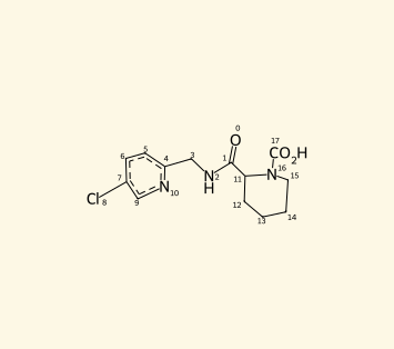 O=C(NCc1ccc(Cl)cn1)C1CCCCN1C(=O)O